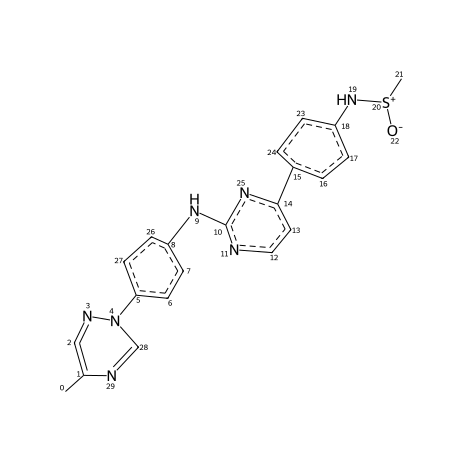 CC1=C=NN(c2ccc(Nc3nccc(-c4ccc(N[S+](C)[O-])cc4)n3)cc2)C=N1